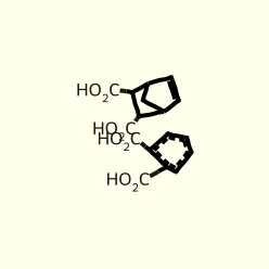 O=C(O)C1C2C=CC(C2)C1C(=O)O.O=C(O)c1ccccc1C(=O)O